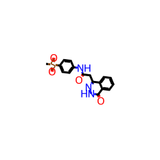 CS(=O)(=O)c1ccc(NC(=O)Cc2n[nH]c(=O)c3ccccc23)cc1